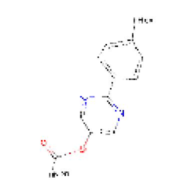 CCCCCCCCCC(=O)Oc1cnc(-c2ccc(CCCCCC)cc2)nc1